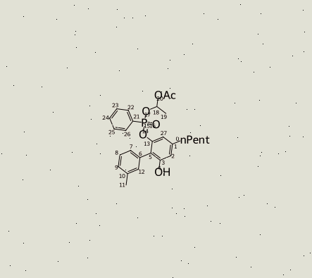 CCCCCc1cc(O)c(-c2cccc(C)c2)c(OP(=O)(OC(C)OC(C)=O)c2ccccc2)c1